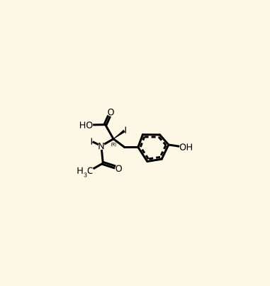 CC(=O)N(I)[C@@](I)(Cc1ccc(O)cc1)C(=O)O